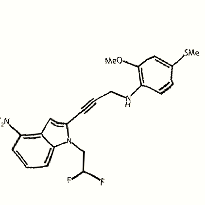 COc1cc(SC)ccc1NCC#Cc1cc2c(N)cccc2n1CC(F)F